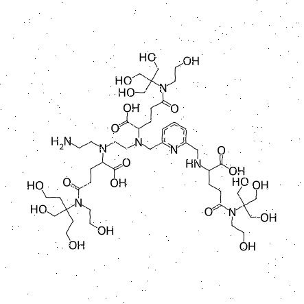 NCCN(CCN(Cc1cccc(CNC(CCC(=O)N(CCO)C(CO)(CO)CO)C(=O)O)n1)C(CCC(=O)N(CCO)C(CO)(CO)CO)C(=O)O)C(CCC(=O)N(CCO)C(CO)(CCO)CCO)C(=O)O